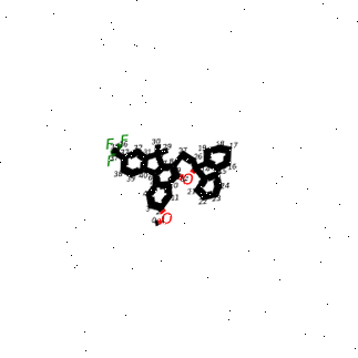 COc1ccc2c3c(c4c(c2c1)OC(c1ccccc1)(c1ccccc1)C=C4)C(C)(C)c1cc(C(F)(F)F)ccc1-3